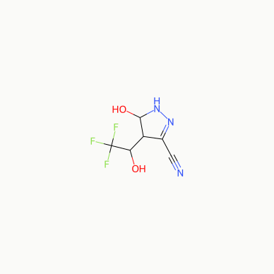 N#CC1=NNC(O)C1C(O)C(F)(F)F